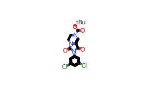 CC(C)(C)OC(=O)N1C=C2C(=O)N(c3cc(Cl)cc(Cl)c3)C(=O)N2CC1